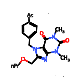 CCCOCc1nc2c(c(=O)n(C)c(=O)n2C)n1Cc1ccc(C(C)=O)cc1